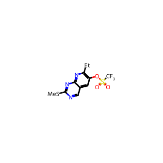 CCc1nc2nc(SC)ncc2cc1OS(=O)(=O)C(F)(F)F